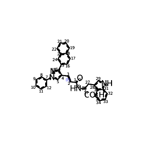 O=C(/C=C/c1cn(-c2ccccc2)nc1-c1ccc2ccccc2c1)N[C@H](Cc1c[nH]c2ccccc12)C(=O)O